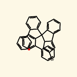 BrC1=CC2C(=C1)c1ccccc1C2(c1ccccc1-c1ccccc1)c1ccccc1-c1ccccc1